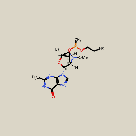 [C-]#[N+]CCOP(C)O[C@H]1[C@@H]2[C@H](n3cnc4c(=O)[nH]c(C)nc43)O[C@@]1(CC)CN2OC